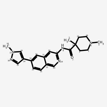 CN1CCC(C)(C(=O)Nc2cc3cc(-c4cnn(C)c4)ccc3cn2)CC1